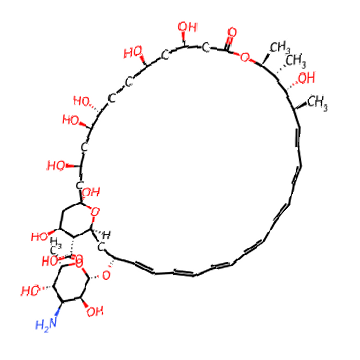 C[C@@H]1[C@H](O)[C@@H](C)/C=C/C=C/C=C/C=C/C=C/C=C/C=C/[C@H](O[C@H]2O[C@@H](C)[C@@H](O)[C@H](N)[C@@H]2O)C[C@@H]2O[C@](O)(C[C@@H](O)C[C@@H](O)[C@H](O)CC[C@@H](O)C[C@@H](O)CC(=O)O[C@H]1C)C[C@H](O)[C@H]2C(=O)O